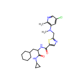 Cc1ncc(Cl)cc1N(C)Cc1ncc(C(=O)NC(CC2CCCCC2)C(=O)NC2CC2)s1